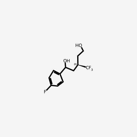 OCC[C@H](CC(O)c1ccc(F)cc1)C(F)(F)F